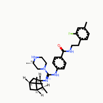 Cc1ccc(CCNC(=O)c2ccc(N/C(=N/[C@H]3C[C@H]4C[C@@H]([C@@H]3C)C4(C)C)N3CCN[C@@H](C)C3)cc2)c(F)c1